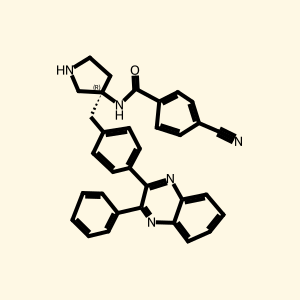 N#Cc1ccc(C(=O)N[C@]2(Cc3ccc(-c4nc5ccccc5nc4-c4ccccc4)cc3)CCNC2)cc1